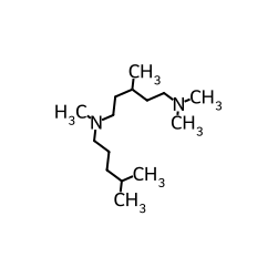 CC(C)CCCN(C)CCC(C)CCN(C)C